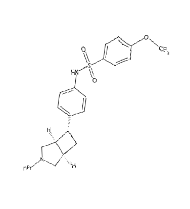 CCCN1C[C@@H]2C[C@@H](c3ccc(NS(=O)(=O)c4ccc(OC(F)(F)F)cc4)cc3)[C@@H]2C1